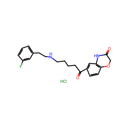 Cl.O=C1COc2ccc(C(=O)CCCCNCCc3cccc(F)c3)cc2N1